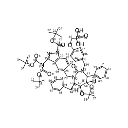 CC(C)(C)OC(=O)N(C(=O)OC(C)(C)C)c1nn(C(=O)OC(C)(C)C)c2ccc(CN3C(=O)N(Cc4ccc(OCP(=O)(O)O)cc4)C(c4ccccc4)[C@@H]4OC(C)(C)O[C@H]4[C@H]3Cc3ccccc3)cc12